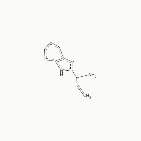 C=CC(N)c1[c]c2ccccc2[nH]1